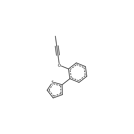 CC#COc1ccccc1-c1cccs1